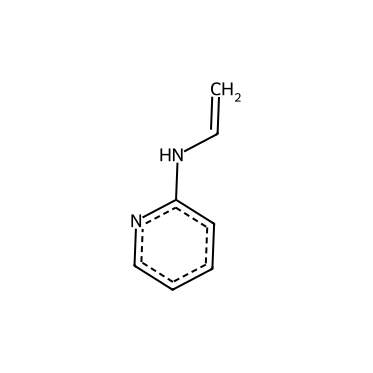 C=CNc1ccccn1